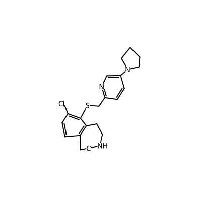 Clc1ccc2c(c1SCc1ccc(N3CCCC3)cn1)CCNCC2